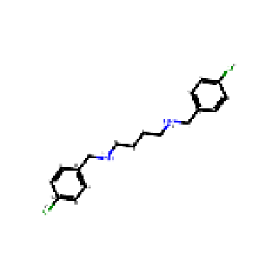 Clc1ccc(CNCCCCNCc2ccc(Cl)cc2)cc1